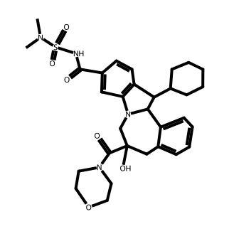 CN(C)S(=O)(=O)NC(=O)c1ccc2c(c1)N1CC(O)(C(=O)N3CCOCC3)Cc3ccccc3C1C2C1CCCCC1